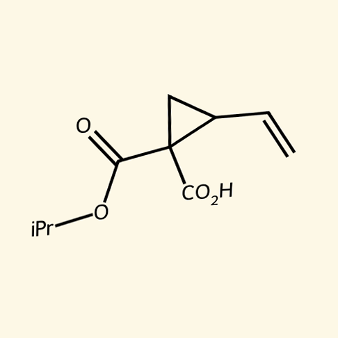 C=CC1CC1(C(=O)O)C(=O)OC(C)C